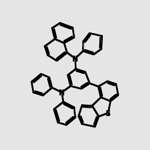 c1ccc(N(c2ccccc2)c2cc(-c3cccc4sc5ccccc5c34)cc(N(c3ccccc3)c3cccc4ccccc34)c2)cc1